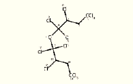 ClC(CC(Cl)(Cl)Cl)C(Cl)(Cl)OC(Cl)(Cl)C(Cl)CC(Cl)(Cl)Cl